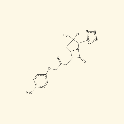 COc1ccc(OCC(=O)NC2C(=O)N3C2SC(C)(C)C3c2nnn[nH]2)cc1